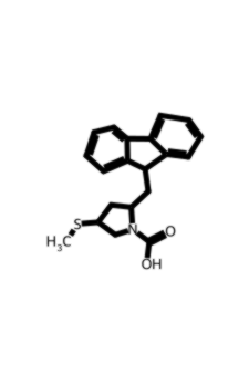 CSC1CC(CC2c3ccccc3-c3ccccc32)N(C(=O)O)C1